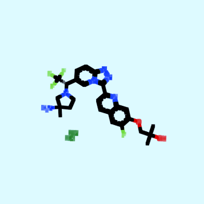 CC(C)(O)COc1cc2nc(-c3nnc4ccc([C@H](N5CCC(C)(N)C5)C(F)(F)F)cn34)ccc2cc1F.Cl.Cl